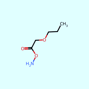 CCCOCC(=O)ON